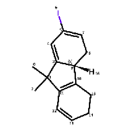 CC1(C)C2=CC(I)=CC[C@@H]2C2=C1C=CCC2